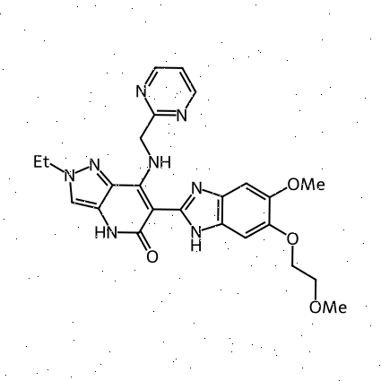 CCn1cc2[nH]c(=O)c(-c3nc4cc(OC)c(OCCOC)cc4[nH]3)c(NCc3ncccn3)c2n1